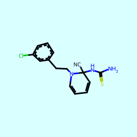 N#CC1(NC(N)=S)C=CC=CN1CCc1cccc(Cl)c1